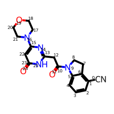 N#Cc1cccc2c1CCN2C(=O)Cc1nc(N2CCOCC2)cc(=O)[nH]1